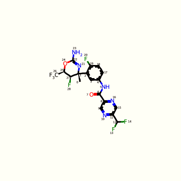 C[C@]1(c2cc(NC(=O)c3cnc(C(F)F)cn3)ccc2F)N=C(N)O[C@H](C(F)(F)F)[C@@H]1F